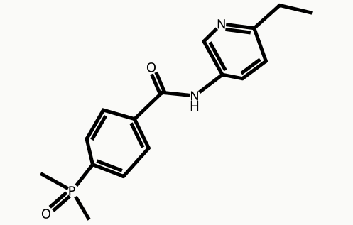 CCc1ccc(NC(=O)c2ccc(P(C)(C)=O)cc2)cn1